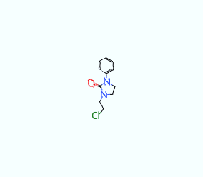 O=C1N(CCCl)CCN1c1ccccc1